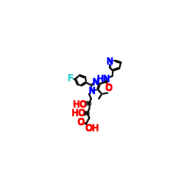 CC(C)c1c(C(=O)NCc2cccnc2)nc(-c2ccc(F)cc2)n1CC[C@@H](O)C[C@@H](O)CC(=O)O